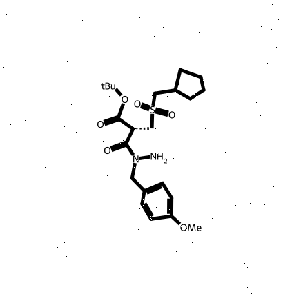 COc1ccc(CN(N)C(=O)[C@@H](CS(=O)(=O)CC2CCCC2)C(=O)OC(C)(C)C)cc1